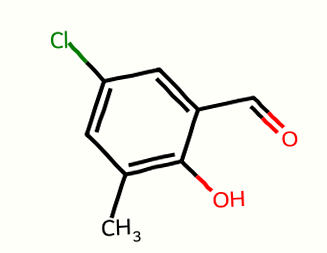 Cc1cc(Cl)cc(C=O)c1O